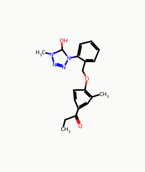 CCC(=O)c1ccc(OCc2ccccc2N2N=NN(C)C2O)c(C)c1